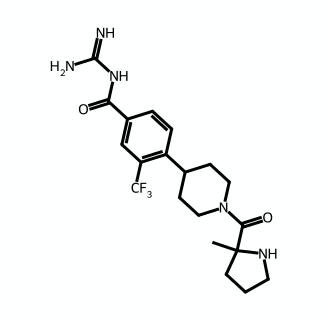 CC1(C(=O)N2CCC(c3ccc(C(=O)NC(=N)N)cc3C(F)(F)F)CC2)CCCN1